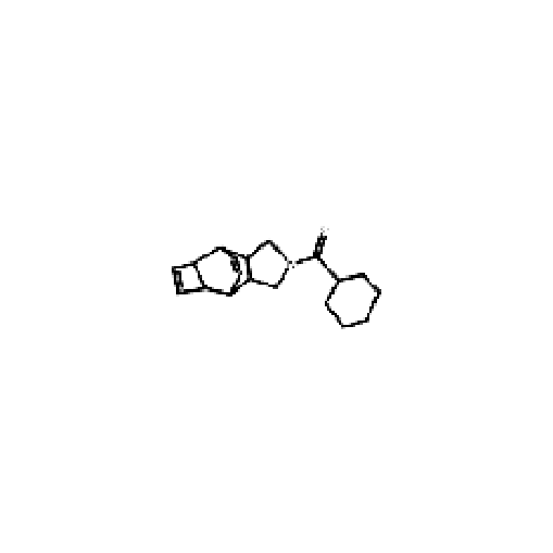 O=C(C1CCCCC1)N1CC2C3C=CC(C4C=CC43)C2C1